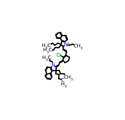 CCCCC1(CCCC)C(/C=C/C2=C(Cl)C(=C/C=C3\N(CCC)c4ccc5ccccc5c4C3(CCCC)CCCC)/CCC2)=[N+](CCC)c2ccc3ccccc3c21